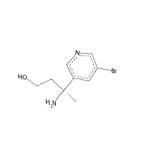 C[C@](N)(CCO)c1cncc(Br)c1